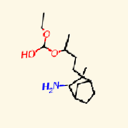 CCOC(O)OC(C)CC[C@]1(C)C2CCC(C2)[C@H]1N